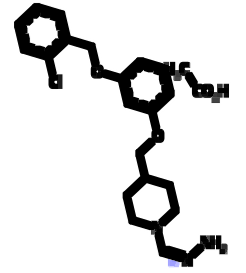 CC(=O)O.N/N=C\N1CCC(COc2cccc(OCc3ccccc3Cl)c2)CC1